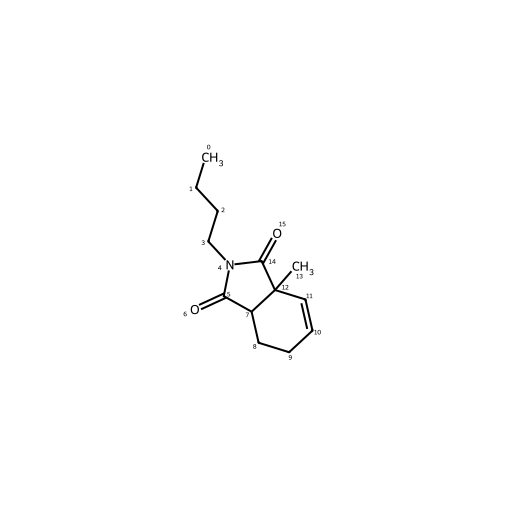 CCCCN1C(=O)C2CCC=CC2(C)C1=O